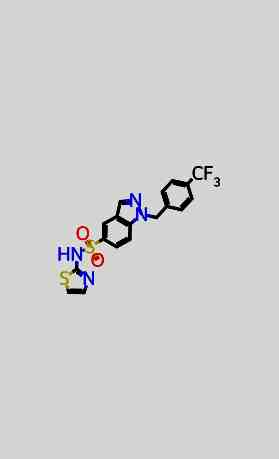 O=S(=O)(Nc1nccs1)c1ccc2c(cnn2Cc2ccc(C(F)(F)F)cc2)c1